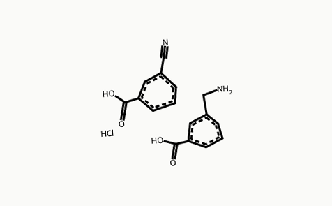 Cl.N#Cc1cccc(C(=O)O)c1.NCc1cccc(C(=O)O)c1